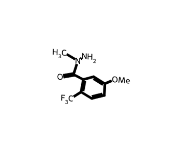 COc1ccc(C(F)(F)F)c(C(=O)N(C)N)c1